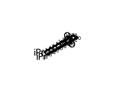 CC(C)CCCCCCCCCCCCOC(=O)C1CCC(C)CC1C(=O)OCCCCCCCCCCCCC(C)C